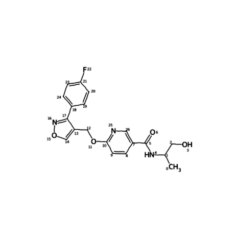 CC(CO)NC(=O)c1ccc(OCc2conc2-c2ccc(F)cc2)nc1